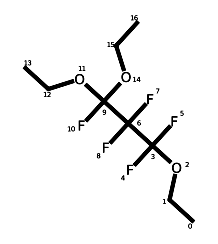 CCOC(F)(F)C(F)(F)C(F)(OCC)OCC